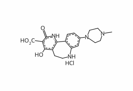 CN1CCN(c2ccc3c(c2)NCCc2c-3[nH]c(=O)c(C(=O)O)c2O)CC1.Cl